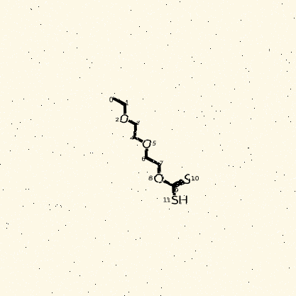 CCOCCOCCOC(=S)S